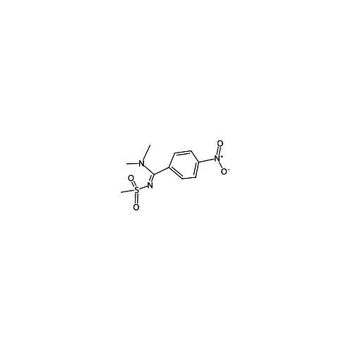 CN(C)C(=NS(C)(=O)=O)c1ccc([N+](=O)[O-])cc1